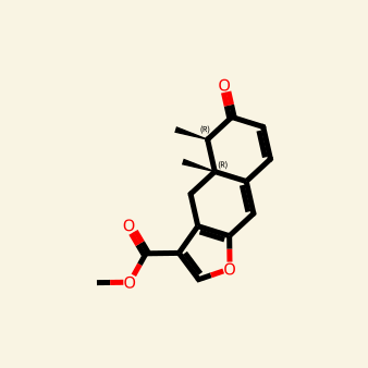 COC(=O)c1coc2c1C[C@@]1(C)C(=C2)C=CC(=O)[C@@H]1C